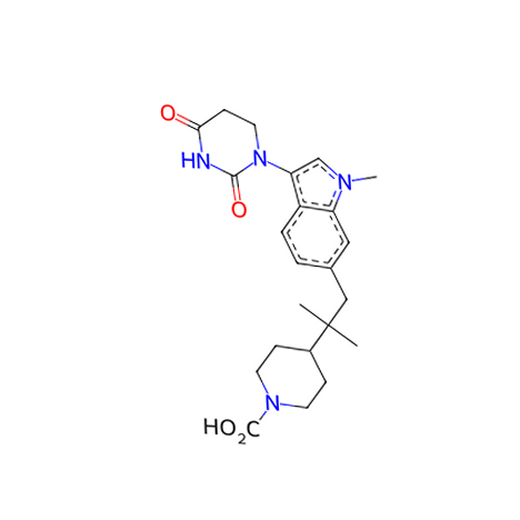 Cn1cc(N2CCC(=O)NC2=O)c2ccc(CC(C)(C)C3CCN(C(=O)O)CC3)cc21